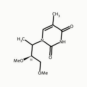 COC[C@@H](OC)C(C)n1cc(C)c(=O)[nH]c1=O